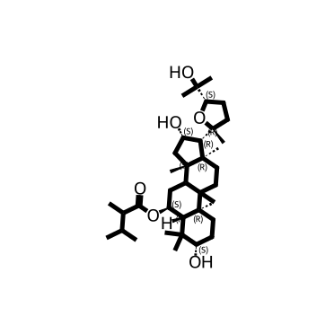 CC(C)C(C)C(=O)O[C@H]1CC2C3(CC[C@]4(C)[C@@H]([C@@]5(C)CC[C@@H](C(C)(C)O)O5)[C@@H](O)C[C@@]24C)C[C@@]32CC[C@H](O)C(C)(C)[C@H]12